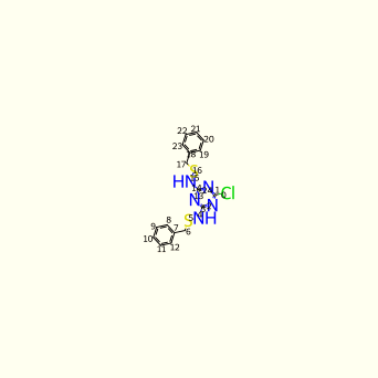 Clc1nc(NSCc2ccccc2)nc(NSCc2ccccc2)n1